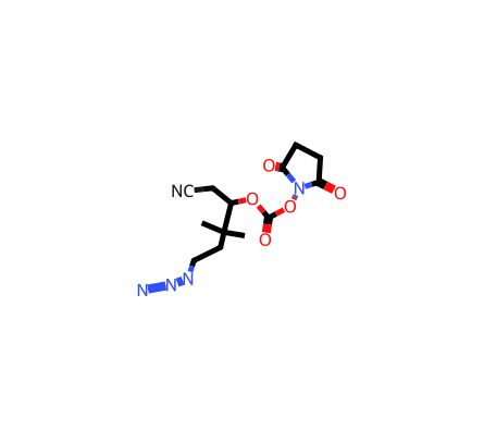 CC(C)(CCN=[N+]=[N-])C(CC#N)OC(=O)ON1C(=O)CCC1=O